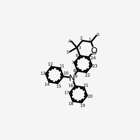 CC1CC(C)(C)c2cc(N(c3ccccc3)c3ccccc3)ccc2O1